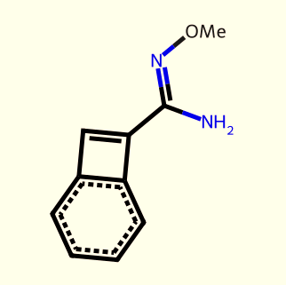 CON=C(N)C1=Cc2ccccc21